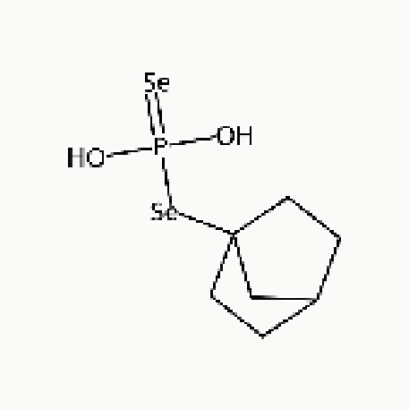 OP(O)(=[Se])[Se]C12CCC(CC1)C2